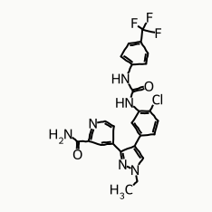 CCn1cc(-c2ccc(Cl)c(NC(=O)Nc3ccc(C(F)(F)F)cc3)c2)c(-c2ccnc(C(N)=O)c2)n1